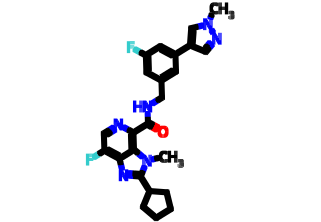 Cn1cc(-c2cc(F)cc(CNC(=O)c3ncc(F)c4nc(C5CCCC5)n(C)c34)c2)cn1